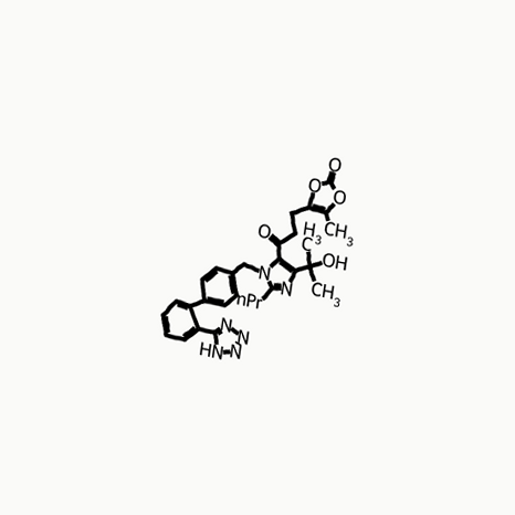 CCCc1nc(C(C)(C)O)c(C(=O)CCc2oc(=O)oc2C)n1Cc1ccc(-c2ccccc2-c2nnn[nH]2)cc1